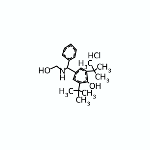 CC(C)(C)c1cc(C(NCO)c2ccccc2)cc(C(C)(C)C)c1O.Cl